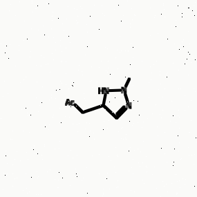 CC(=O)CC1C=NN(C)N1